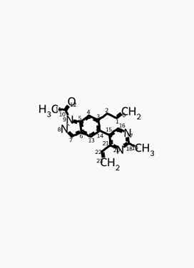 C=CCc1cc2c(cnn2C(C)=O)cc1-c1cnc(C)nc1C=C